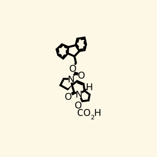 O=C(O)O[C@H]1CC[C@H]2C=C[C@]3(CCCN3C(=O)OCC3c4ccccc4-c4ccccc43)C(=O)N21